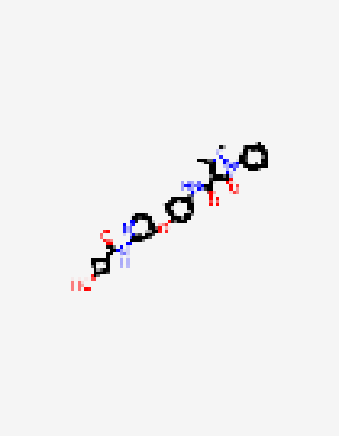 Cc1c(C(=O)Nc2ccc(Oc3ccnc(NC(=O)C4CC(O)C4)c3)cc2)c(=O)n(-c2ccccc2)n1C